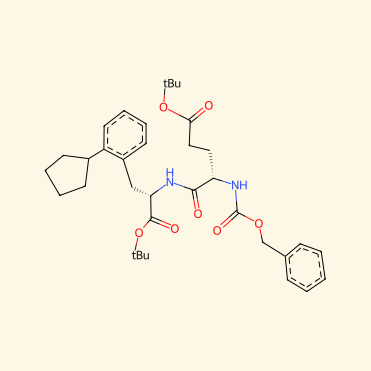 CC(C)(C)OC(=O)CC[C@H](NC(=O)OCc1ccccc1)C(=O)N[C@@H](Cc1ccccc1C1CCCC1)C(=O)OC(C)(C)C